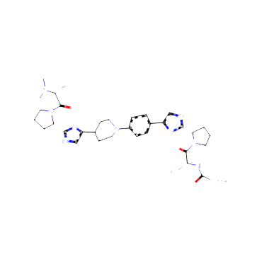 COC(=O)N[C@H](C(=O)N1CCC[C@H]1c1nc(-c2ccc(N3CCC(c4c[nH]c([C@@H]5CCCN5C(=O)[C@H](C(C)C)N(C)C(=O)O)n4)CC3)cc2)c[nH]1)C(C)C